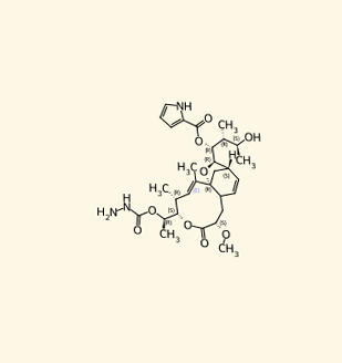 CO[C@H]1CC2C=C[C@@H]3C[C@]2(O[C@H]3[C@H](OC(=O)c2ccc[nH]2)[C@H](C)[C@H](C)O)/C(C)=C/[C@@H](C)[C@@H]([C@@H](C)OC(=O)NN)OC1=O